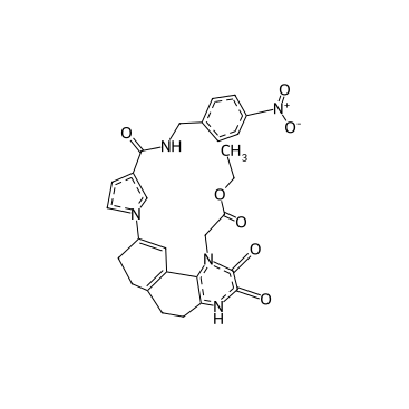 CCOC(=O)Cn1c2c([nH]c(=O)c1=O)CCC1=C2C=C(n2ccc(C(=O)NCc3ccc([N+](=O)[O-])cc3)c2)CC1